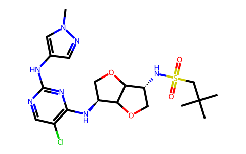 Cn1cc(Nc2ncc(Cl)c(N[C@H]3COC4C3OC[C@H]4NS(=O)(=O)CC(C)(C)C)n2)cn1